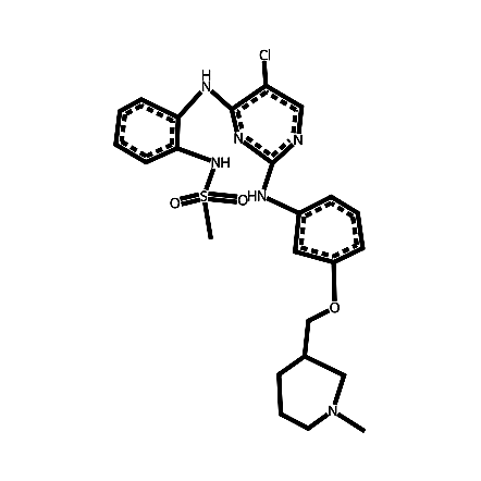 CN1CCCC(COc2cccc(Nc3ncc(Cl)c(Nc4ccccc4NS(C)(=O)=O)n3)c2)C1